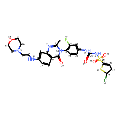 Cc1nc2cc(NCCN3CCOCC3)ccc2c(=O)n1-c1ccc(NC(=O)NS(=O)(=O)C2=CCC(Cl)S2)cc1F